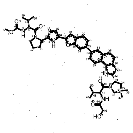 COC(=O)NC(C(=O)N1CCCC1c1ncc(-c2cc3ccc(-c4ccc5c(ccc6nc([C@@H]7C[Si](C)(C)CN7C(=O)C(NC(=O)CO)C(C)C)[nH]c65)c4)cc3o2)[nH]1)C(C)C